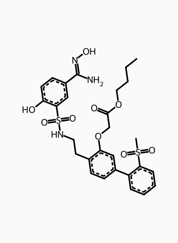 CCCCOC(=O)COc1cc(-c2ccccc2S(C)(=O)=O)ccc1CCNS(=O)(=O)c1cc(/C(N)=N/O)ccc1O